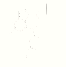 CCOC(=O)CC(C)N(C)c1nc(Cl)nc2ccn(C(=O)OC(C)(C)C)c12